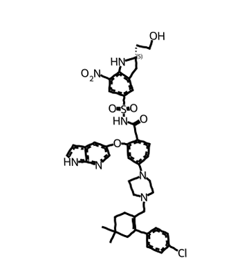 CC1(C)CCC(CN2CCN(c3ccc(C(=O)NS(=O)(=O)c4cc5c(c([N+](=O)[O-])c4)N[C@H](CCO)C5)c(Oc4cnc5[nH]ccc5c4)c3)CC2)=C(c2ccc(Cl)cc2)C1